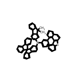 CC1(C)c2ccccc2-c2ccc(N(c3cccc(-c4cccc5ccc6sc7ccccc7c6c45)c3)c3ccc4c(c3)C3(c5ccccc5-c5ccccc53)c3ccccc3-4)cc21